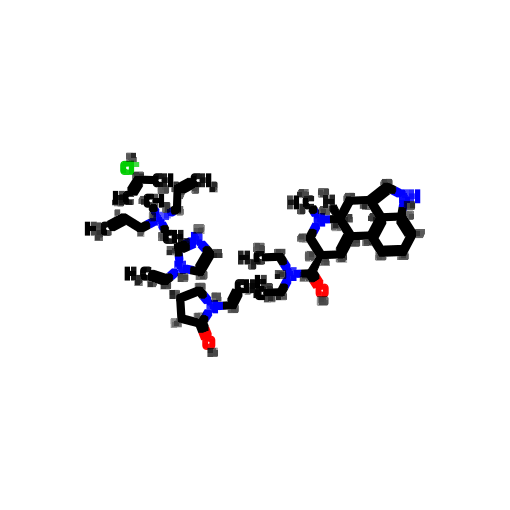 C=CC[N+](C)(C)CC=C.C=CN1CCCC1=O.C=Cn1ccnc1.CCN(CC)C(=O)[C@@H]1C=C2c3cccc4[nH]cc(c34)C[C@H]2N(C)C1.[CH]=CC.[Cl-]